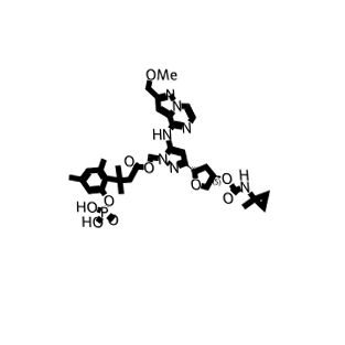 COCc1cc2c(Nc3cc([C@@H]4C[C@H](OC(=O)NC5(C)CC5)CO4)nn3COC(=O)CC(C)(C)c3c(C)cc(C)cc3OP(=O)(O)O)nccn2n1